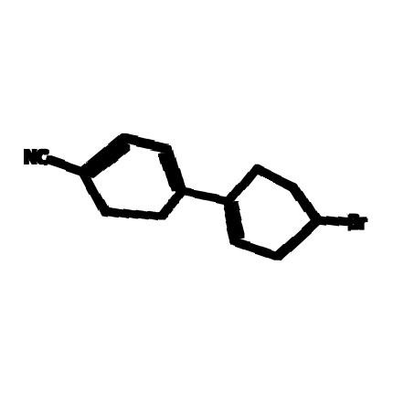 N#CC1=CC=C(C2=CCC(Br)CC2)CC1